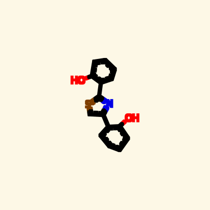 Oc1ccccc1-c1csc(-c2ccccc2O)n1